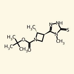 C[C@@H]1[C@@H](c2n[nH]c(=S)n2C)CN1C(=O)OC(C)(C)C